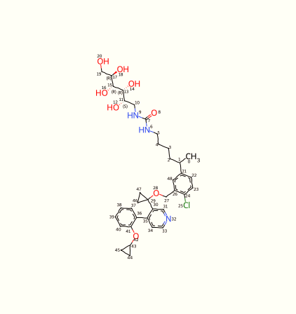 CC(CCCCNC(=O)NC[C@H](O)[C@@H](O)[C@H](O)[C@H](O)CO)c1ccc(Cl)c(COC2(c3cnccc3-c3ccccc3OC3CC3)CC2)c1